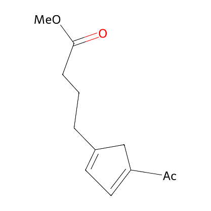 COC(=O)CCCC1=CC=C(C(C)=O)C1